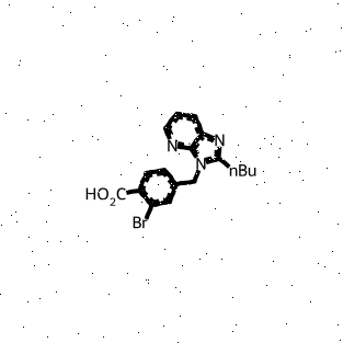 CCCCc1nc2cccnc2n1Cc1ccc(C(=O)O)c(Br)c1